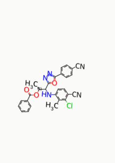 Cc1c(NC(c2nnc(-c3ccc(C#N)cc3)o2)[C@H](C)OC(=O)c2ccccc2)ccc(C#N)c1Cl